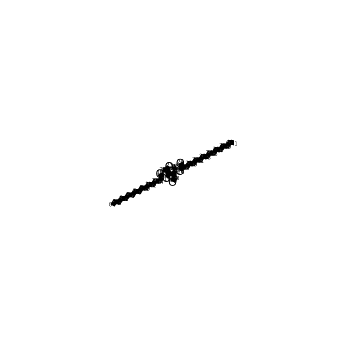 CCCCCCCCCCCCCCCC(=O)OC1=C(C)OCC(OC(=O)CCCCCCCCCCCCCCC)C1C=O